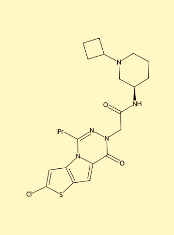 CC(C)c1nn(CC(=O)N[C@@H]2CCCN(C3CCC3)C2)c(=O)c2cc3sc(Cl)cc3n12